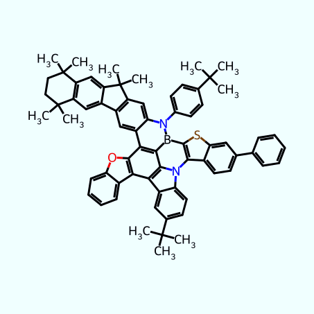 CC(C)(C)c1ccc(N2B3c4sc5cc(-c6ccccc6)ccc5c4-n4c5ccc(C(C)(C)C)cc5c5c6c(oc7ccccc76)c(c3c54)-c3cc4c(cc32)C(C)(C)c2cc3c(cc2-4)C(C)(C)CCC3(C)C)cc1